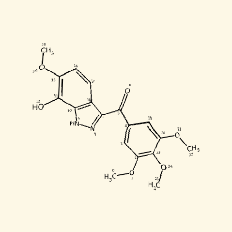 COc1cc(C(=O)c2n[nH]c3c(O)c(OC)ccc23)cc(OC)c1OC